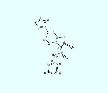 O=C1Cc2cc(-c3ccco3)ccc2N1C(=O)Nc1cncnc1